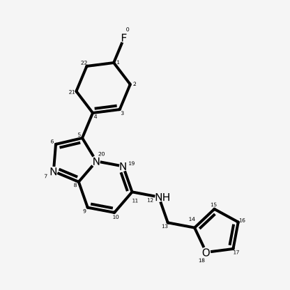 FC1CC=C(c2cnc3ccc(NCc4ccco4)nn23)CC1